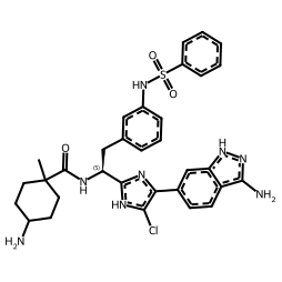 CC1(C(=O)N[C@@H](Cc2cccc(NS(=O)(=O)c3ccccc3)c2)c2nc(-c3ccc4c(N)n[nH]c4c3)c(Cl)[nH]2)CCC(N)CC1